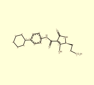 O=C(O)CC[C@@H]1NC(=O)C(C(=O)Nc2ccc(C3CCCCC3)cc2)=C1O